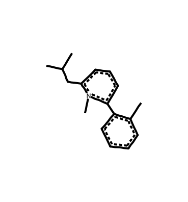 Cc1ccccc1-c1cccc(CC(C)C)[n+]1C